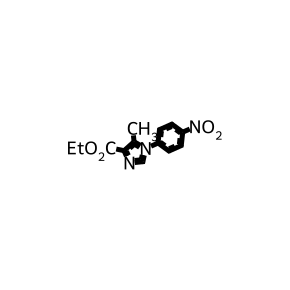 CCOC(=O)c1ncn(-c2ccc([N+](=O)[O-])cc2)c1C